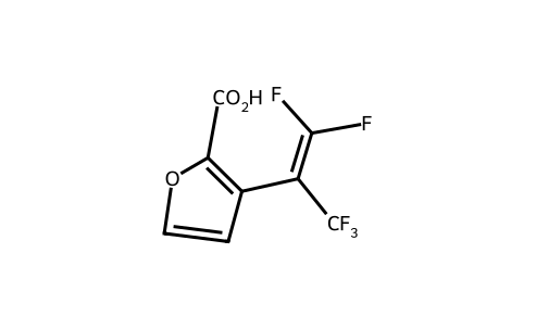 O=C(O)c1occc1C(=C(F)F)C(F)(F)F